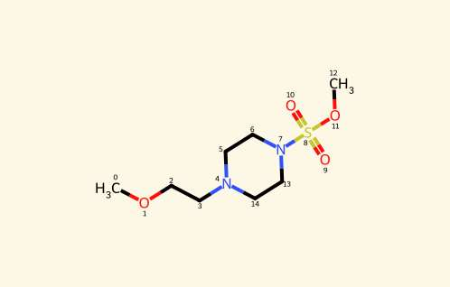 COCCN1CCN(S(=O)(=O)OC)CC1